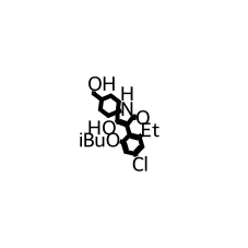 CCc1cc(Cl)cc(OCC(C)C)c1C1=C(O)C2(CCC(CO)CC2)NC1=O